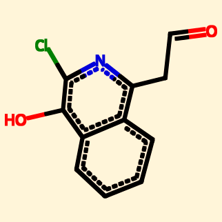 O=CCc1nc(Cl)c(O)c2ccccc12